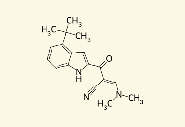 CN(C)C=C(C#N)C(=O)c1cc2c(C(C)(C)C)cccc2[nH]1